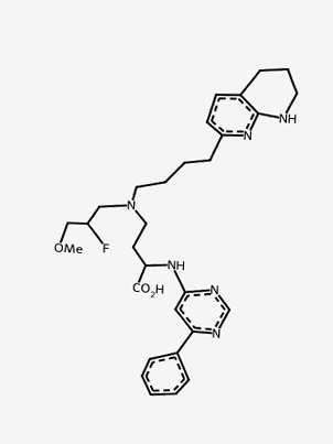 COCC(F)CN(CCCCc1ccc2c(n1)NCCC2)CCC(Nc1cc(-c2ccccc2)ncn1)C(=O)O